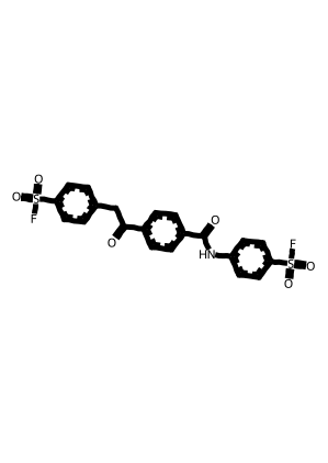 O=C(Cc1ccc(S(=O)(=O)F)cc1)c1ccc(C(=O)Nc2ccc(S(=O)(=O)F)cc2)cc1